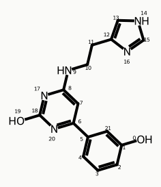 Oc1cccc(-c2cc(NCCc3c[nH]cn3)nc(O)n2)c1